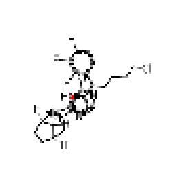 Fc1ccc(C(CCCCCl)c2nnc(N[C@@H]3[C@@H]4CC[C@H]3CN(c3ccnc(C(F)(F)F)c3)C4)[nH]2)c(F)c1F